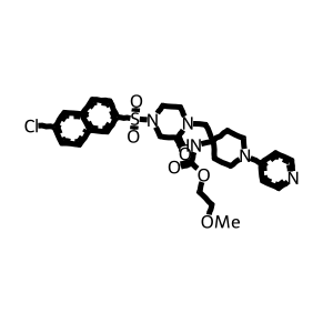 COCCOC(=O)NC1(CN2CCN(S(=O)(=O)c3ccc4cc(Cl)ccc4c3)CC2=O)CCN(c2ccncc2)CC1